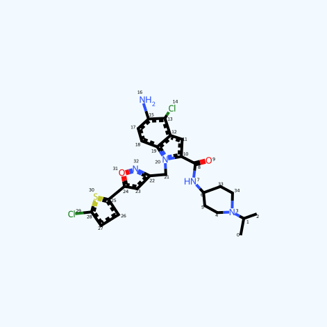 CC(C)N1CCC(NC(=O)c2cc3c(Cl)c(N)ccc3n2Cc2cc(-c3ccc(Cl)s3)on2)CC1